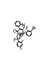 Cc1ccc(C(F)(F)CNC(=O)c2c([S+]([O-])c3cccc(C4CC4)c3F)cnc3ccccc23)c(C)c1